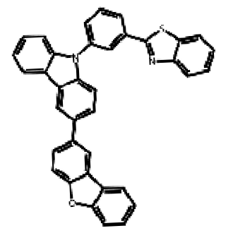 c1cc(-c2nc3ccccc3s2)cc(-n2c3ccccc3c3cc(-c4ccc5oc6ccccc6c5c4)ccc32)c1